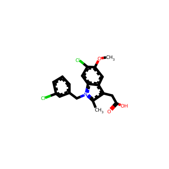 COc1cc2c(CC(=O)O)c(C)n(Cc3cccc(Cl)c3)c2cc1Cl